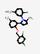 Cc1ccc(-c2cc(C(F)(F)F)ccc2OCc2ccc(F)cc2F)n1-c1cc(C(=O)O)ccc1F